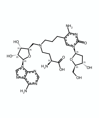 Nc1nc(=O)n([C@H]2C[C@H](O)[C@@H](CO)O2)cc1CCCN(CC[C@H](N)C(=O)O)C[C@H]1O[C@@H](n2cnc3c(N)ncnc32)[C@H](O)[C@@H]1O